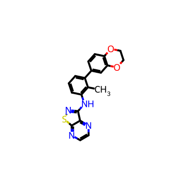 Cc1c(Nc2nsc3nccnc23)cccc1-c1ccc2c(c1)OCCO2